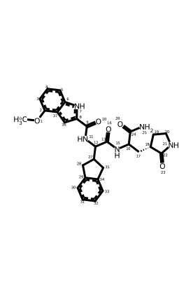 COc1cccc2[nH]c(C(=O)NC(C(=O)NC(C[C@@H]3CCNC3=O)C(N)=O)C3Cc4ccccc4C3)cc12